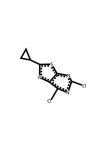 Clc1nc(Cl)c2nc(C3CC3)sc2n1